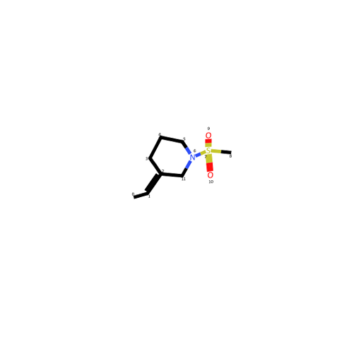 C/C=C1\CCCN(S(C)(=O)=O)C1